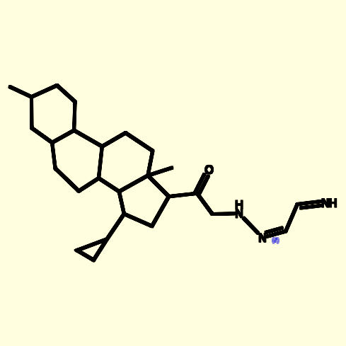 CC1CCC2C(CCC3C2CCC2(C)C(C(=O)CN/N=C\C=N)CC(C4CC4)C32)C1